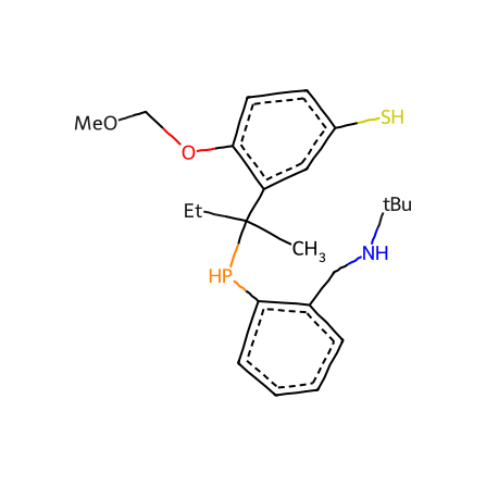 CCC(C)(Pc1ccccc1CNC(C)(C)C)c1cc(S)ccc1OCOC